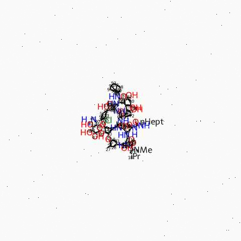 CCCCCCCNC(=O)NC(=O)C[C@@H]1NC(=O)[C@H](NC(=O)[C@@H](CC(C)C)NC)[C@H](O)c2ccc(c(C)c2)Oc2cc3cc(c2O[C@@H]2O[C@H](CN)[C@@H](O)[C@H](O)[C@H]2O)Oc2ccc(cc2Cl)[C@@H](O)[C@@H]2NC(=O)[C@H](NC(=O)[C@@H]3NC1=O)c1ccc(O)c(c1)-c1c(O)cc(O)cc1[C@@H](C(=O)NC1C3CC4CC(C3)CC1C4)NC2=O